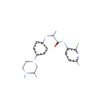 CC(Nc1ccc(N2CCN(C(=O)O)C(C(C)(C)C)C2)cc1)C(=O)Nc1ccc(Cl)nc1Cl